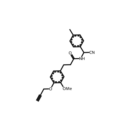 C#CCOc1ccc(CCC(=O)NC(C#N)c2ccc(C)cc2)cc1OC